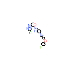 CCc1nc2ncc(Cl)cn2c1C(=O)NCc1ccc(N2CC3(CC(Oc4ccc(F)cc4)C3)C2)cc1